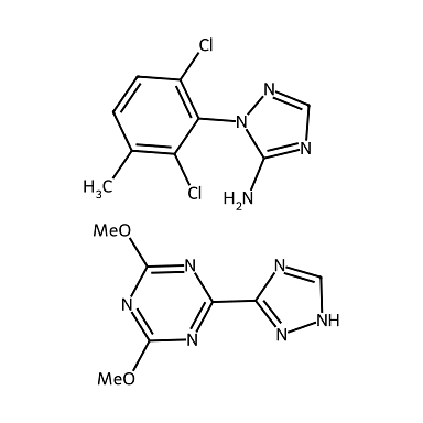 COc1nc(OC)nc(-c2nc[nH]n2)n1.Cc1ccc(Cl)c(-n2ncnc2N)c1Cl